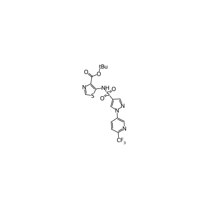 CC(C)(C)OC(=O)c1ncsc1NS(=O)(=O)c1cnn(-c2ccc(C(F)(F)F)nc2)c1